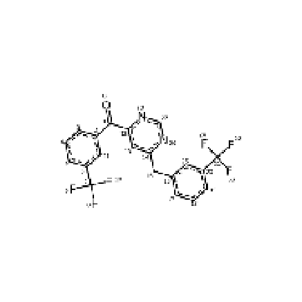 O=C(c1cccc(C(F)(F)F)c1)c1cc(Cc2cccc(C(F)(F)F)c2)ncn1